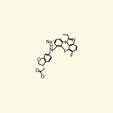 CCc1nc2ccc(F)c(F)c2n1-c1cccc(CNc2ccc3c(c2)OC[C@H]3CC(=O)[O-])c1C.[Na+]